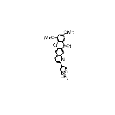 CCN(c1ccc2ncc(-c3cnn(C)c3)nc2c1)c1cc(OC)cc(OC)c1Cl